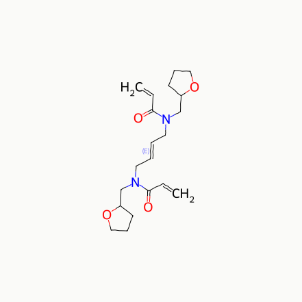 C=CC(=O)N(C/C=C/CN(CC1CCCO1)C(=O)C=C)CC1CCCO1